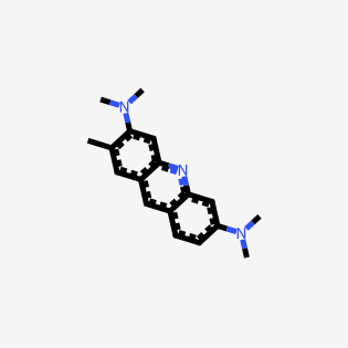 Cc1cc2cc3ccc(N(C)C)cc3nc2cc1N(C)C